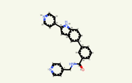 O=C(NCc1ccncc1)c1cccc(-c2ccc3[nH]c(-c4ccncc4)cc3c2)c1